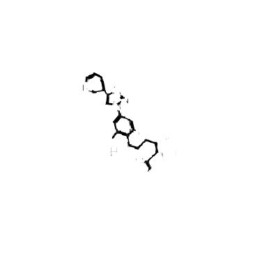 Cc1cc(-n2cc(-c3cccnc3)nn2)ccc1[C@@H](O)[C@H]1OC(CO)[C@@H](O)C(O)C1O